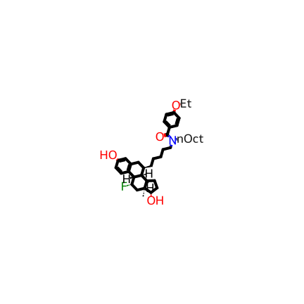 CCCCCCCCN(CCCCC[C@@H]1Cc2cc(O)ccc2[C@@H]2[C@@H]1[C@@H]1CC[C@H](O)[C@@]1(C)C[C@@H]2F)C(=O)c1ccc(OCC)cc1